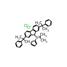 C[C](C)=[Ti+2]([C]1=CC=CC1)[CH]1c2cc(C(C)(C)c3ccccc3)ccc2-c2ccc(C(C)(C)c3ccccc3)cc21.[Cl-].[Cl-]